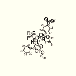 CCOC(=O)OC(CN(CC(C)C)S(=O)(=O)c1ccc([N+](=O)[O-])cc1)C(Cc1ccccc1)NC(=O)C(F)(F)F